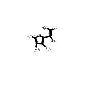 CC(=O)/C(C)=C(\O)c1sc(C)c(C)c1C